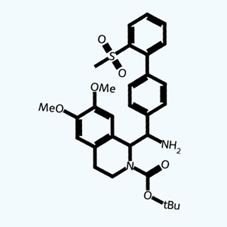 COc1cc2c(cc1OC)C(C(N)c1ccc(-c3ccccc3S(C)(=O)=O)cc1)N(C(=O)OC(C)(C)C)CC2